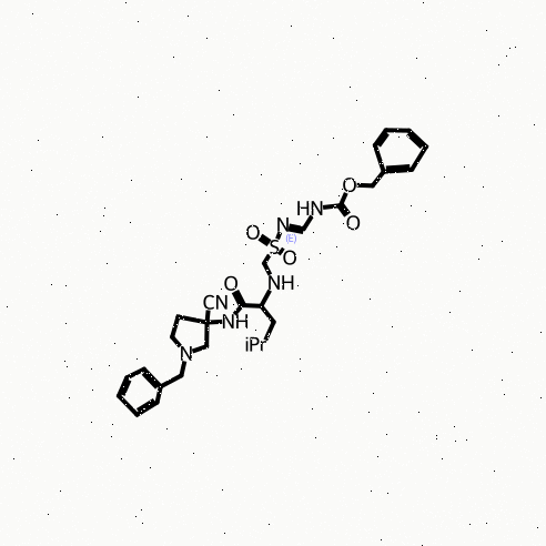 CC(C)CC(NCS(=O)(=O)/N=C/NC(=O)OCc1ccccc1)C(=O)NC1(C#N)CCN(Cc2ccccc2)C1